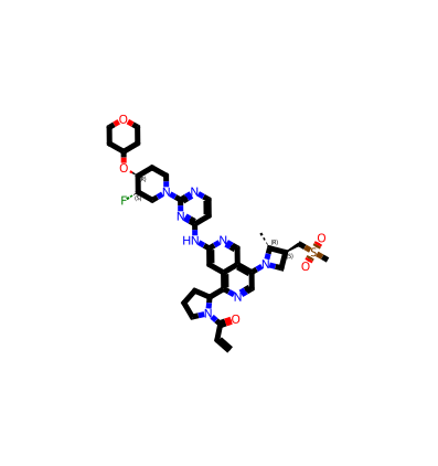 C=CC(=O)N1CCCC1c1ncc(N2C[C@H](CS(C)(=O)=O)[C@H]2C)c2cnc(Nc3ccnc(N4CC[C@@H](OC5CCOCC5)[C@@H](F)C4)n3)cc12